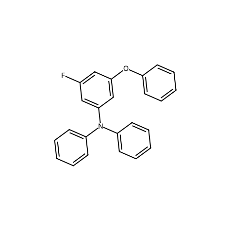 Fc1cc(Oc2ccccc2)cc(N(c2ccccc2)c2ccccc2)c1